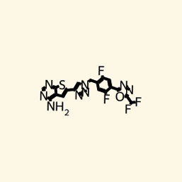 Nc1ncnc2sc(-c3cn(Cc4cc(F)c(-c5nnc(C(F)F)o5)cc4F)nn3)cc12